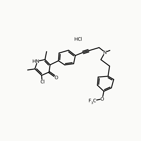 Cc1[nH]c(C)c(-c2ccc(C#CCN(C)CCc3ccc(OC(F)(F)F)cc3)cc2)c(=O)c1Cl.Cl